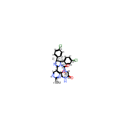 CCOc1nc(C(C)(C)C)ncc1C1=N[C@@](C)(c2ccc(Cl)cc2)[C@@](C)(c2ccc(Cl)cc2)N1C(=O)N1CCNC(=O)C1